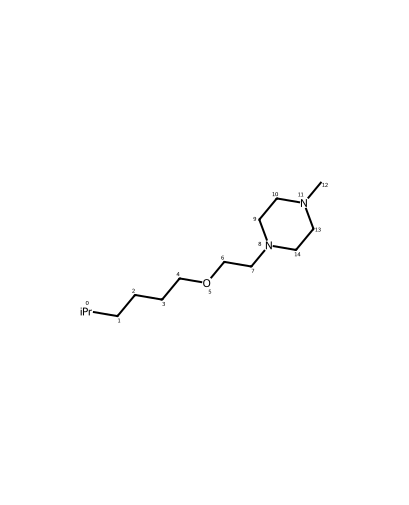 CC(C)CCCCOCCN1CCN(C)CC1